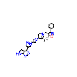 Cc1onc(-c2ccccc2)c1CN1CCC(N2C[C](n3cc(-c4ncnc5[nH]ccc45)cn3)C2)CC1